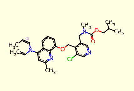 C=CN(/C=C\C)c1cc(C)nc2c(OCc3c(Cl)cncc3CN(C)C(=O)OCC(C)C)cccc12